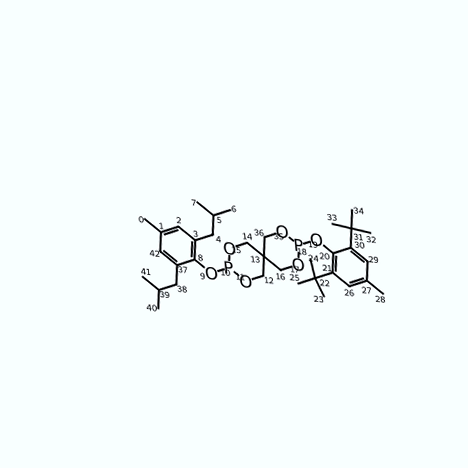 Cc1cc(CC(C)C)c(OP2OCC3(CO2)COP(Oc2c(C(C)(C)C)cc(C)cc2C(C)(C)C)OC3)c(CC(C)C)c1